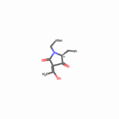 CCCCCCCCCCN1C(=O)C(=C(C)O)C(=O)[C@@H]1CC(C)C